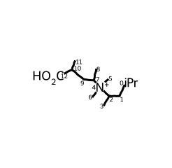 CC(C)CC(C)[N+](C)(C)C(C)CC(C)C(=O)O